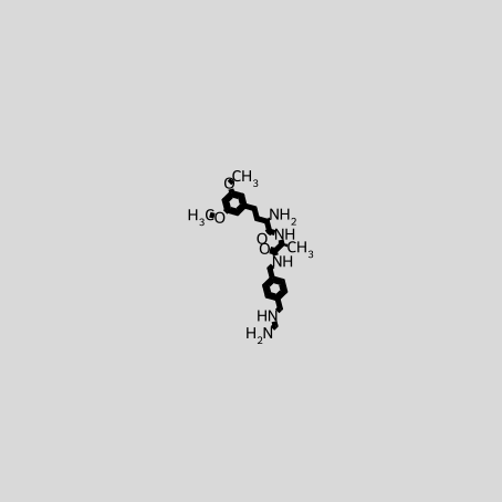 COc1cc(CC[C@@H](N)C(=O)N[C@@H](C)C(=O)NCc2ccc(CNCN)cc2)cc(OC)c1